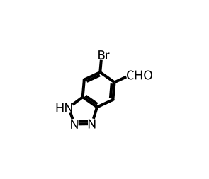 O=Cc1cc2nn[nH]c2cc1Br